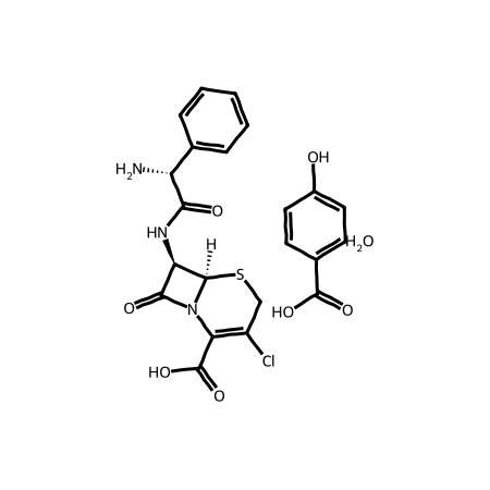 N[C@@H](C(=O)N[C@@H]1C(=O)N2C(C(=O)O)=C(Cl)CS[C@H]12)c1ccccc1.O.O=C(O)c1ccc(O)cc1